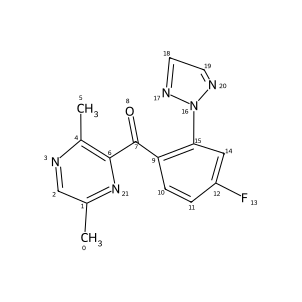 Cc1cnc(C)c(C(=O)c2ccc(F)cc2-n2nccn2)n1